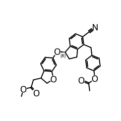 COC(=O)CC1COc2cc(O[C@@H]3CCc4c3ccc(C#N)c4Cc3ccc(OC(C)=O)cc3)ccc21